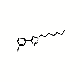 CCCCCCCn1cc(-c2cccc(F)c2)nn1